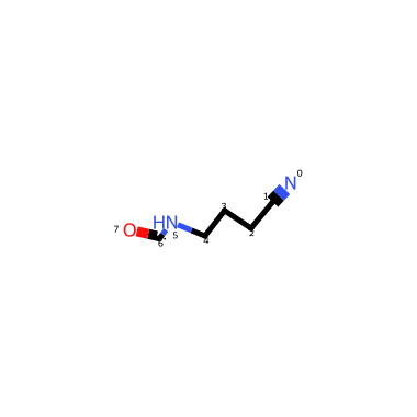 N#CCCCN[C]=O